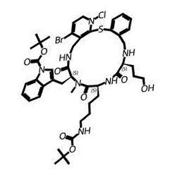 CN1C(=O)[C@H](CCCCNC(=O)OC(C)(C)C)NC(=O)[C@H](CCCO)NCc2ccccc2SC2=C(CNC(=O)[C@@H]1Cc1cn(C(=O)OC(C)(C)C)c3ccccc13)C(Br)=CCN2Cl